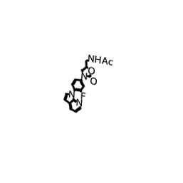 CC(=O)NCC1CN(c2ccc(-n3ccc4cccnc43)c(F)c2)C(=O)O1